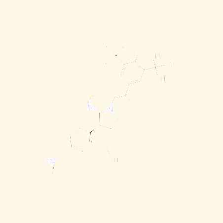 CCC[C@H]1CN(CC(=O)c2cc(C(C)(C)C)c(O)c(C(C)(C)C)c2)/C(=N\Br)[C@@H]1c1ccc(S(=O)(=O)NC)cc1